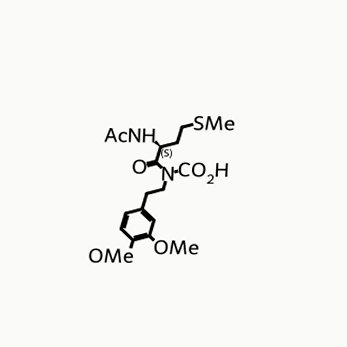 COc1ccc(CCN(C(=O)O)C(=O)[C@H](CCSC)NC(C)=O)cc1OC